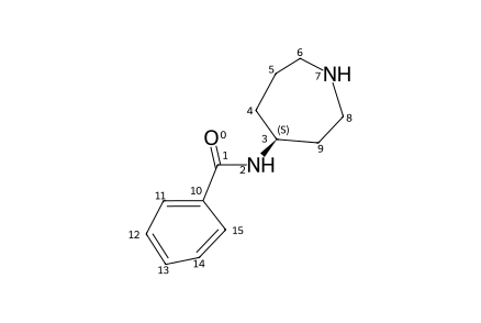 O=C(N[C@H]1CCCNCC1)c1ccccc1